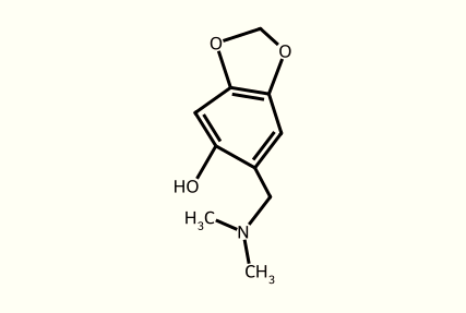 CN(C)Cc1cc2c(cc1O)OCO2